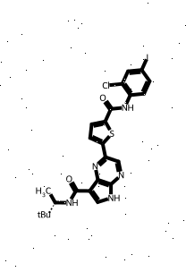 C[C@H](NC(=O)c1c[nH]c2ncc(-c3ccc(C(=O)Nc4ccc(I)cc4Cl)s3)nc12)C(C)(C)C